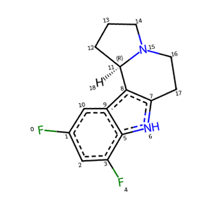 Fc1cc(F)c2[nH]c3c(c2c1)[C@H]1CCCN1CC3